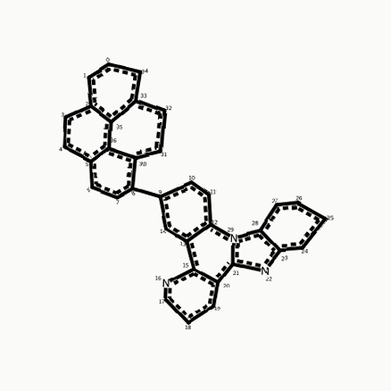 c1cc2ccc3ccc(-c4ccc5c(c4)c4ncccc4c4nc6ccccc6n54)c4ccc(c1)c2c34